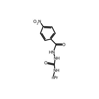 CCCNC(=O)NNC(=O)c1ccc([N+](=O)[O-])cc1